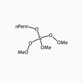 CCCCCO[Si](OC)(OOC)OOC